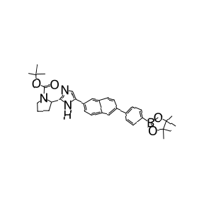 CC(C)(C)OC(=O)N1CCCC1c1ncc(-c2ccc3cc(-c4ccc(B5OC(C)(C)C(C)(C)O5)cc4)ccc3c2)[nH]1